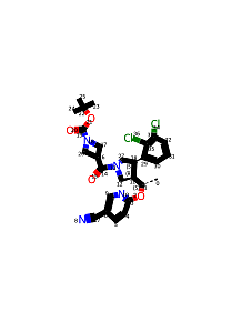 C[C@H](Oc1ccc(C#N)cn1)[C@H]1CN(C(=O)C2CN(C(=O)OC(C)(C)C)C2)C[C@@H]1c1cccc(Cl)c1Cl